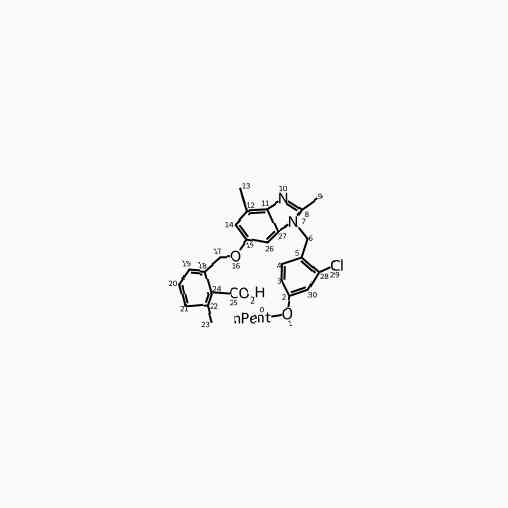 CCCCCOc1ccc(Cn2c(C)nc3c(C)cc(OCc4cccc(C)c4C(=O)O)cc32)c(Cl)c1